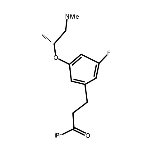 CNC[C@@H](C)Oc1cc(F)cc(CCC(=O)C(C)C)c1